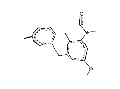 COc1cc(Cc2cccc(C)c2)c(C)c(N(C)C=O)c1